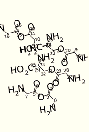 NCC(=O)OC(=O)CN.NCC(=O)OC(=O)CN.NCC(=O)OC[C@H](N)C(=O)O.NCC(=O)OC[C@H](N)C(=O)O